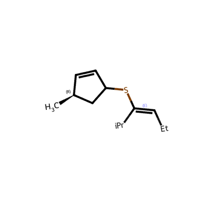 CC/C=C(/SC1C=C[C@H](C)C1)C(C)C